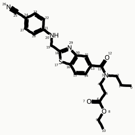 CCCN(CCC(=O)OCC)C(=O)c1ccc2sc(CNc3ccc(C#N)cc3)nc2c1